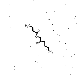 CC=CC(=O)OCC(O)CCCC